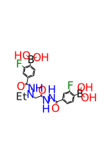 CCN(CC(=O)NNC(=O)c1ccc(B(O)O)c(F)c1)NC(=O)c1ccc(B(O)O)c(F)c1